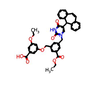 CCOC(=O)c1cc(COc2cc(OCC)cc(C(=O)O)c2)cc(Cn2cc(C3c4ccccc4C=Cc4ccccc43)c(=O)[nH]c2=O)c1